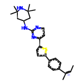 C/C=C(/C)c1ccc(-c2ccc(-c3ccnc(NC4CC(C)(C)NC(C)(C)C4)n3)s2)cc1